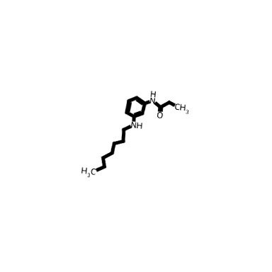 CCCCCCCNc1cccc(NC(=O)CC)c1